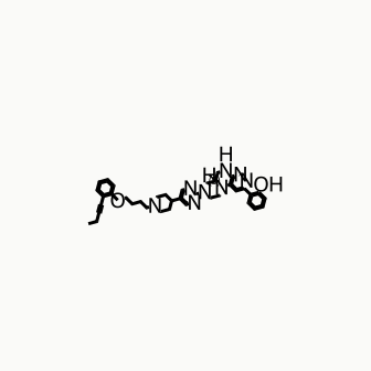 CCC#Cc1ccccc1OCCCCN1CCC(c2cnc(N3CCN4c5cc(-c6ccccc6O)nnc5NC[C@H]4C3)nc2)CC1